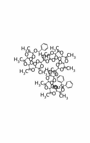 C[C@H](O[Si](c1ccccc1)(c1ccccc1)C(C)(C)C)C(=O)O[C@H](C)C(=O)O[C@H](C)C(=O)O[C@H](C)C(=O)O[C@H](C)C(=O)O[C@H](C)C(=O)O[C@H](C)C(=O)O[C@H](C)C(=O)O[C@H](C)C(=O)O[C@H](C)C(=O)O[C@H](C)C(=O)O[C@H](C)C(=O)O[C@H](C)C(=O)O[C@H](C)C(=O)OCc1ccccc1